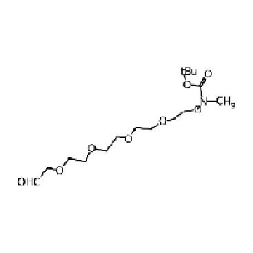 CN(OCCOCCOCCOCCOCC=O)C(=O)OC(C)(C)C